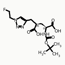 CC(C)(C)OC(=O)N[C@@H](C[C@H](Cc1cn(CCF)nn1)C(=O)O)C(=O)O